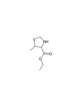 CCOC(=O)C1NCSC1C